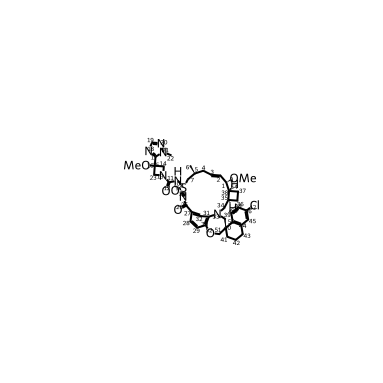 CO[C@H]1/C=C/C[C@H](C)CS(=O)(NC(=O)N2CC(OC)(c3ncnn3C)C2)=NC(=O)c2ccc3c(c2)N(C[C@@H]2CC[C@H]21)C[C@@]1(CCCc2cc(Cl)ccc21)CO3